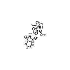 C=CC(NC(C)=O)(OCCN1C(=O)c2ccccc2C1=O)C(=O)OCC